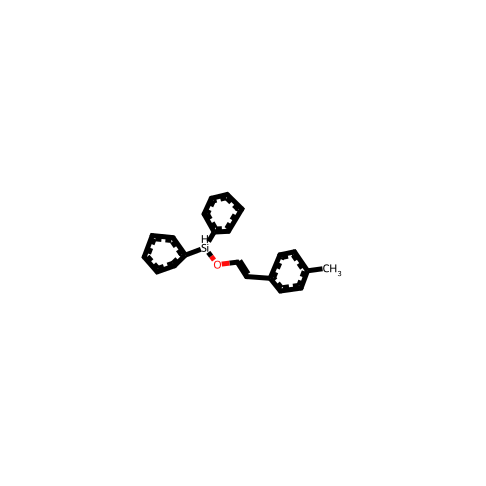 Cc1ccc(C=CO[SiH](c2ccccc2)c2ccccc2)cc1